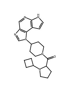 O=C(C1CCCN1C1CCC1)N1CCC(n2cnc3cnc4[nH]ccc4c32)CC1